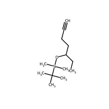 C#CCCC(CC)O[Si](C)(C)C(C)(C)C